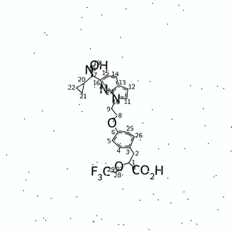 O=C(O)C(Cc1ccc(OCCn2ccc3ccc(/C(=N\O)C4CC4)nc32)cc1)OCC(F)(F)F